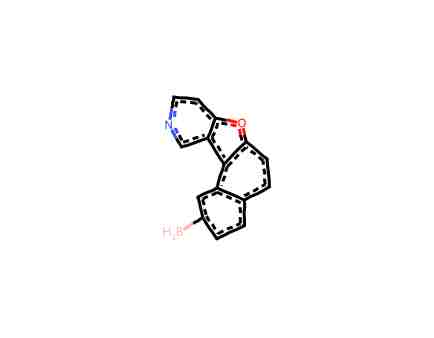 Bc1ccc2ccc3oc4ccncc4c3c2c1